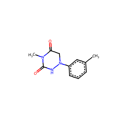 Cc1cccc(N2CC(=O)N(C)C(=O)N2)c1